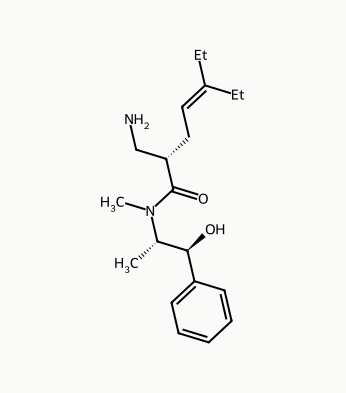 CCC(=CC[C@@H](CN)C(=O)N(C)[C@@H](C)[C@@H](O)c1ccccc1)CC